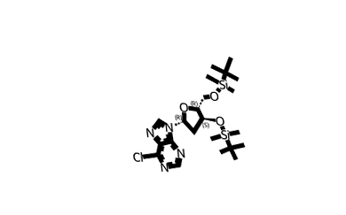 CC(C)(C)[Si](C)(C)OC[C@H]1O[C@@H](n2cnc3c(Cl)ncnc32)C[C@@H]1O[Si](C)(C)C(C)(C)C